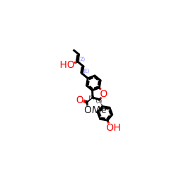 C/C=C(O)/C=C/c1ccc2c(c1)[C@H](C(=O)OC)[C@@H](c1ccc(O)cc1)O2